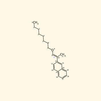 CCCCCCCCO/C=C(\C)c1ccc2ccccc2c1